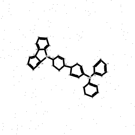 C1=CCCC(N(C2=CCC(C3C=CC(n4c5ccccc5c5ccccc54)CC3)C=C2)c2ccccc2)=C1